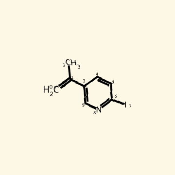 C=C(C)c1ccc(I)nc1